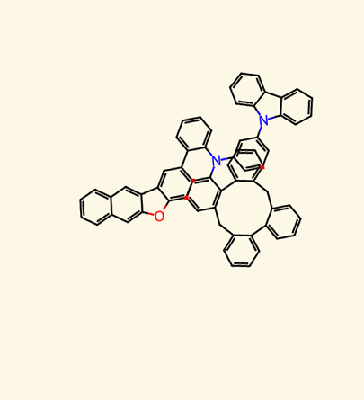 c1cc(N(c2ccccc2-c2ccc3oc4cc5ccccc5cc4c3c2)c2cccc3c2-c2ccccc2Cc2ccccc2-c2ccccc2C3)cc(-n2c3ccccc3c3ccccc32)c1